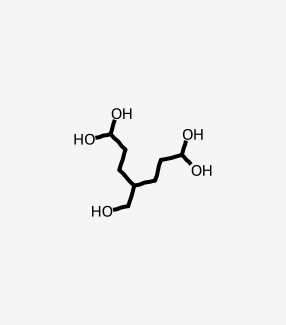 OCC(CCC(O)O)CCC(O)O